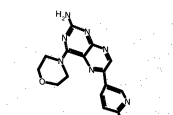 Nc1nc(N2CCOCC2)c2nc(-c3ccc(Cl)nc3)cnc2n1